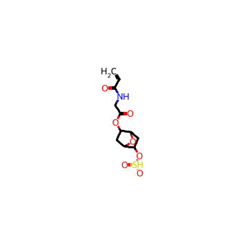 C=CC(=O)NCC(=O)OC1CC2OC1CC2O[SH](=O)=O